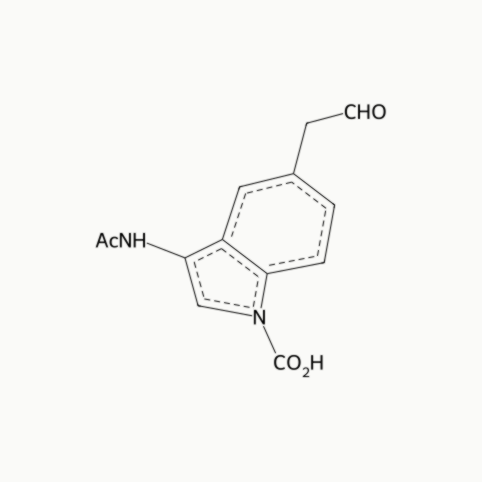 CC(=O)Nc1cn(C(=O)O)c2ccc(CC=O)cc12